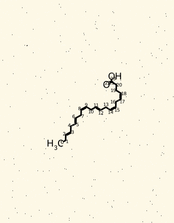 CC/C=C/C/C=C/C/C=C\C/C=C/C/C=C\C/C=C\CCC(=O)O